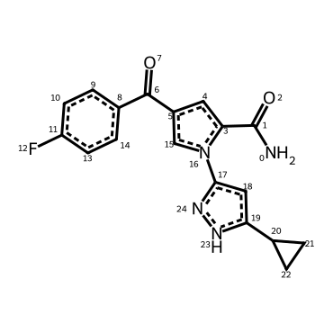 NC(=O)c1cc(C(=O)c2ccc(F)cc2)cn1-c1cc(C2CC2)[nH]n1